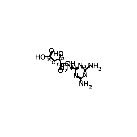 Nc1nc(N)nc(N)n1.O=C(O)CC(O)C(=O)O